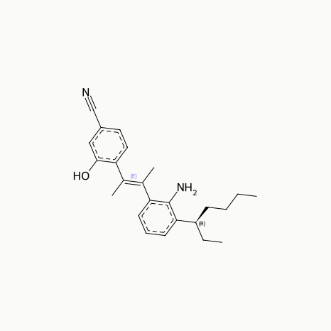 CCCC[C@@H](CC)c1cccc(/C(C)=C(\C)c2ccc(C#N)cc2O)c1N